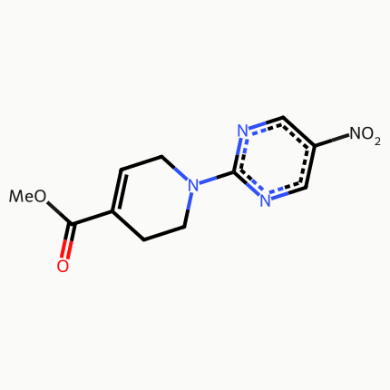 COC(=O)C1=CCN(c2ncc([N+](=O)[O-])cn2)CC1